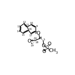 CS(=O)(=O)OC[C@@H](Oc1ccc2ccccc2c1)[C@@H]1CO1